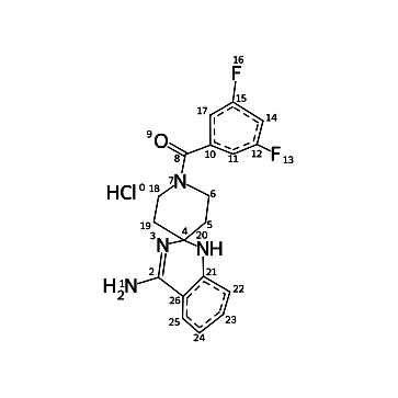 Cl.NC1=NC2(CCN(C(=O)c3cc(F)cc(F)c3)CC2)Nc2ccccc21